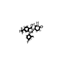 Cc1cc(F)ccc1N1CN([C@H]2CCC(=O)N[C@H]2C)C(=O)c2ccc(C(F)(F)F)cc21